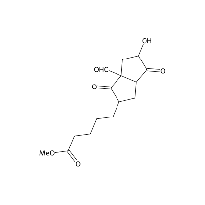 COC(=O)CCCCC1CC2C(=O)C(O)CC2(C=O)C1=O